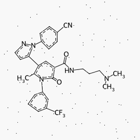 Cc1c(-c2ccnn2-c2ccc(C#N)cc2)cc(C(=O)NCCCN(C)C)c(=O)n1-c1cccc(C(F)(F)F)c1